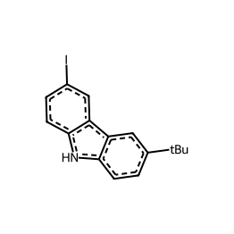 CC(C)(C)c1ccc2[nH]c3ccc(I)cc3c2c1